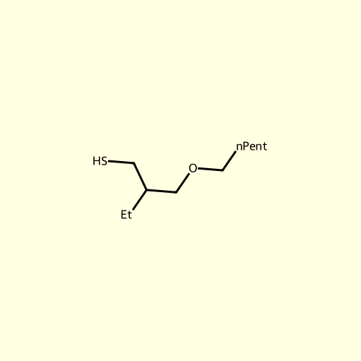 CCCCCCOCC(CC)CS